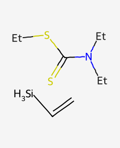 C=C[SiH3].CCSC(=S)N(CC)CC